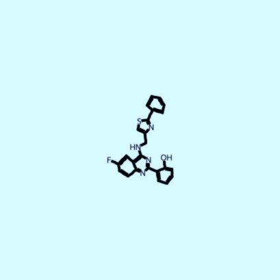 Oc1ccccc1-c1nc(NCc2csc(-c3ccccc3)n2)c2cc(F)ccc2n1